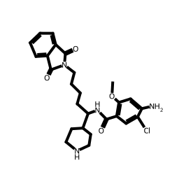 COc1cc(N)c(Cl)cc1C(=O)NC(CCCCN1C(=O)c2ccccc2C1=O)C1CCNCC1